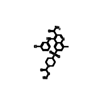 Cc1cc(S(=O)(=O)C2CCN(C(=O)OC(C)(C)C)CC2)cc2c(Nc3cccc(Cl)c3)c(C(N)=O)cnc12